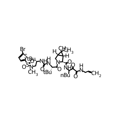 C=CCNC(=O)C(=O)C(CCCC)NC(=O)[C@@H]1[C@@H]2[C@H](CN1C(=O)[C@@H](NC(=O)N[C@H](CN(C)S(=O)(=O)c1ccc(Br)s1)C(C)(C)C)C(C)(C)C)C2(C)C